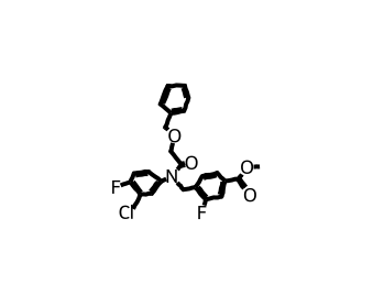 COC(=O)c1ccc(CN(C(=O)COCc2ccccc2)c2ccc(F)c(Cl)c2)c(F)c1